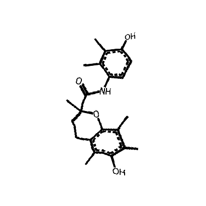 Cc1c(O)ccc(NC(=O)C2(C)CCc3c(C)c(O)c(C)c(C)c3O2)c1C